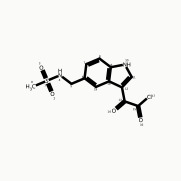 CS(=O)(=O)NCc1ccc2[nH]cc(C(=O)C(=O)Cl)c2c1